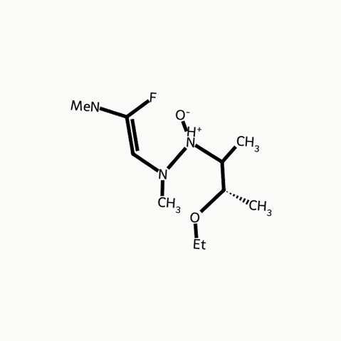 CCO[C@@H](C)C(C)[NH+]([O-])N(C)/C=C(\F)NC